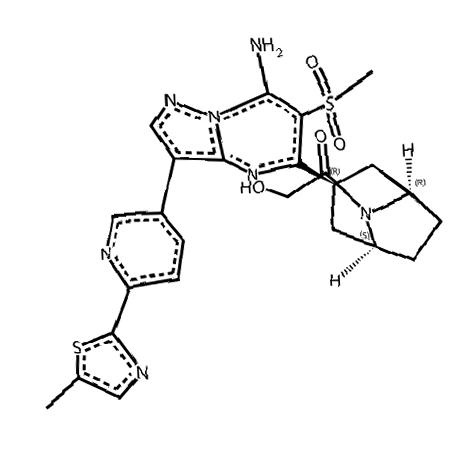 Cc1cnc(-c2ccc(-c3cnn4c(N)c(S(C)(=O)=O)c([C@H]5C[C@H]6CC[C@@H](C5)N6C(=O)CO)nc34)cn2)s1